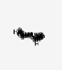 COc1cc(C(=O)NC2CCCN(C(=O)CN3CCN(c4cccc5c4C(=O)N(C4CCC(=O)NC4=O)C5=O)CC3)C2)ccc1Nc1ncc2c(n1)N(C1CCCC1)CC(F)(F)C(=O)N2C